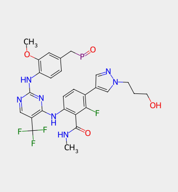 CNC(=O)c1c(Nc2nc(Nc3ccc(CP=O)cc3OC)ncc2C(F)(F)F)ccc(-c2cnn(CCCO)c2)c1F